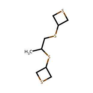 CC(CSC1CSC1)SC1CSC1